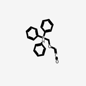 O=C=COC[PH](c1ccccc1)(c1ccccc1)c1ccccc1